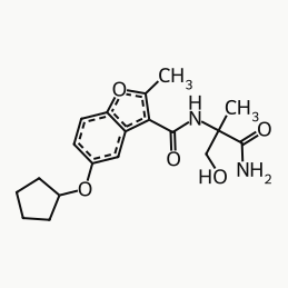 Cc1oc2ccc(OC3CCCC3)cc2c1C(=O)NC(C)(CO)C(N)=O